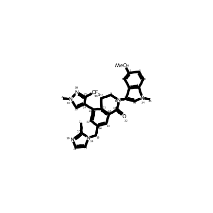 COc1ccc2c(c1)c(N1CCc3c(cc(Cn4ccnc4C)cc3-c3cn(C)nc3C(F)(F)F)C1=O)cn2C